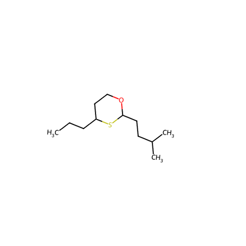 CCCC1CCOC(CCC(C)C)S1